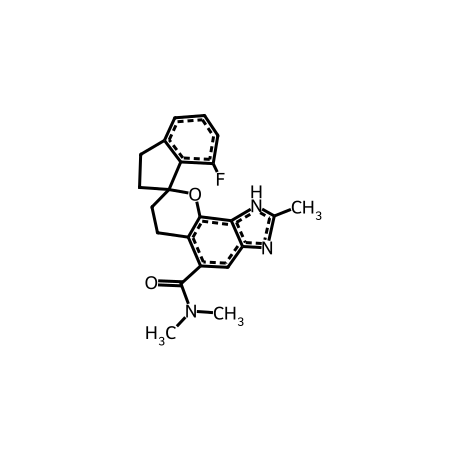 Cc1nc2cc(C(=O)N(C)C)c3c(c2[nH]1)OC1(CCc2cccc(F)c21)CC3